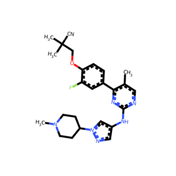 Cc1cnc(Nc2cnn(C3CCN(C)CC3)c2)nc1-c1ccc(OCC(C)(C)C#N)c(F)c1